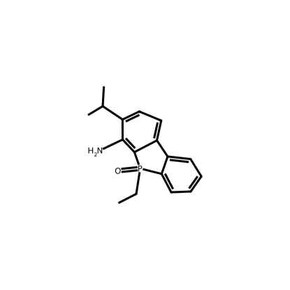 CCP1(=O)c2ccccc2-c2ccc(C(C)C)c(N)c21